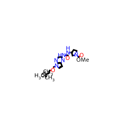 COC(=O)N1CC[C@H](NC(=O)Nc2cnc3c(ccn3COCC[Si](C)(C)C)n2)C1